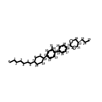 CCCCCCCC1CCC(c2ccc(-c3ccc([C@H]4OC[C@H](CCC)CO4)cc3)c(C)c2)CC1